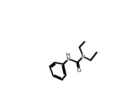 [CH2]CN(C[CH2])C(=O)Nc1ccccc1